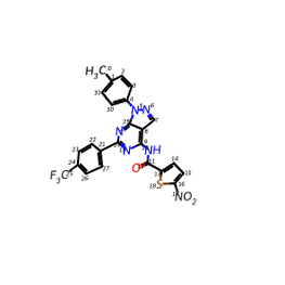 Cc1ccc(-n2ncc3c(NC(=O)c4ccc([N+](=O)[O-])s4)nc(-c4ccc(C(F)(F)F)cc4)nc32)cc1